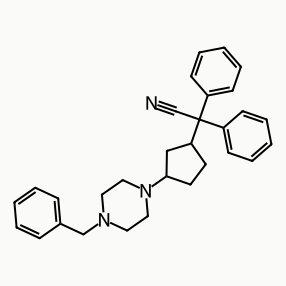 N#CC(c1ccccc1)(c1ccccc1)C1CCC(N2CCN(Cc3ccccc3)CC2)C1